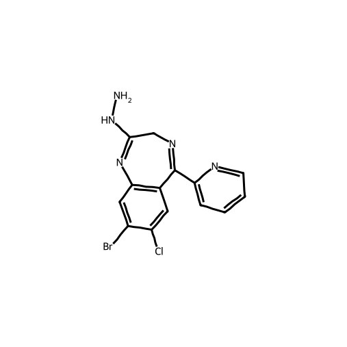 NNC1=Nc2cc(Br)c(Cl)cc2C(c2ccccn2)=NC1